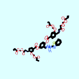 C=CC(=O)OCOCC(=O)/C=C/c1ccc(C(=O)Oc2ccc(OC(=O)c3ccc(/C=C/C(=O)OCOC(=O)C=C)c(OCOC(=O)C=C)c3)cc2/C=N/Nc2nc3ccccc3s2)cc1OCOC(=O)C=C